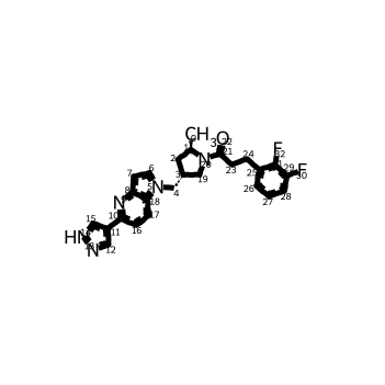 C[C@@H]1C[C@@H](Cn2ccc3nc(-c4cn[nH]c4)ccc32)CN1C(=O)CCc1cccc(F)c1F